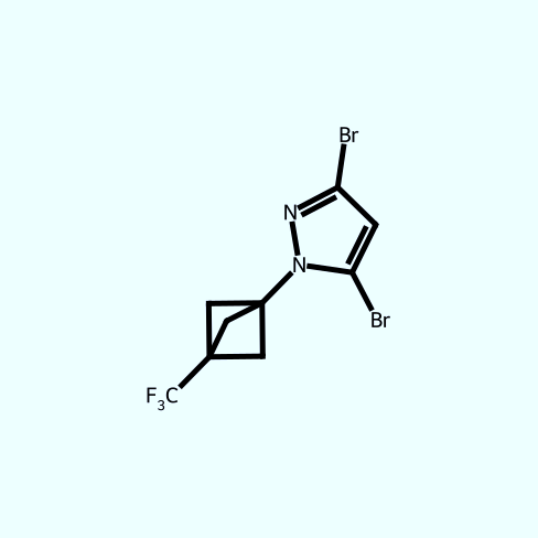 FC(F)(F)C12CC(n3nc(Br)cc3Br)(C1)C2